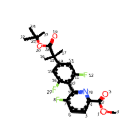 COC(=O)c1ccc(F)c(-c2c(F)cc(C(C)(C)C(=O)OC(C)(C)C)cc2F)n1